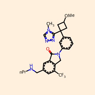 CCCNCc1cc2c(c(C(F)(F)F)c1)CN(c1cccc(C3(c4nncn4C)CC(OC)C3)c1)C2=O